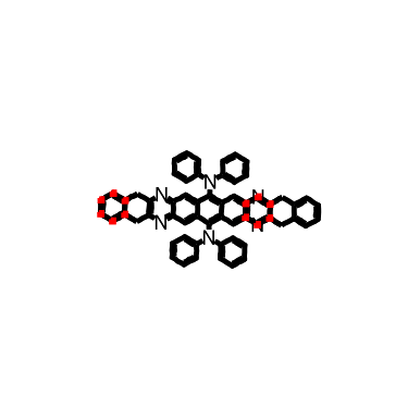 c1ccc(N(c2ccccc2)c2c3cc4nc5c(nc4cc3c(N(c3ccccc3)c3ccccc3)c3cc4nc6c(nc4cc23)C2c3ccccc3C6c3ccccc32)C2c3ccccc3C5c3ccccc32)cc1